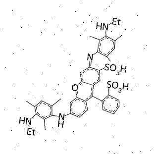 CCNc1c(C)cc(C)c(/N=c2/cc3oc4cc(Nc5c(C)cc(C)c(NCC)c5C)ccc4c(-c4ccccc4S(=O)(=O)O)c-3cc2S(=O)(=O)O)c1C